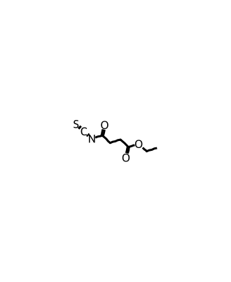 CCOC(=O)CCC(=O)N=C=S